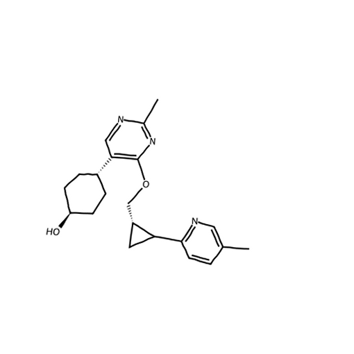 Cc1ccc(C2C[C@@H]2COc2nc(C)ncc2[C@H]2CC[C@H](O)CC2)nc1